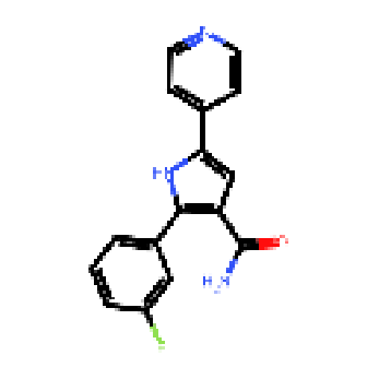 NC(=O)c1cc(-c2ccncc2)[nH]c1-c1cccc(F)c1